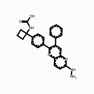 NNc1ccc2nc(-c3ccc(C4(NC(=O)O)CCC4)cc3)c(-c3ccccc3)cc2n1